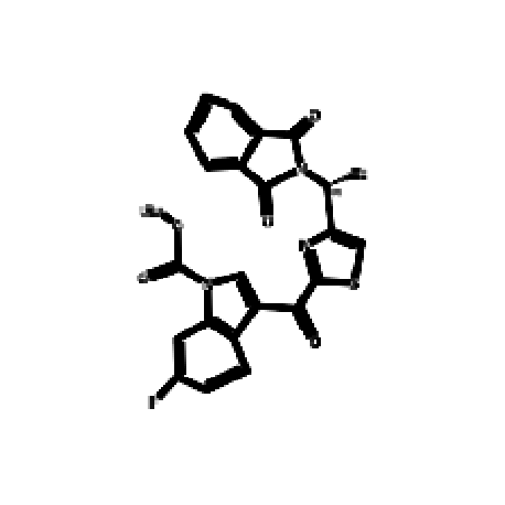 CC[C@H](c1csc(C(=O)c2cn(C(=O)OC(C)(C)C)c3cc(F)ccc23)n1)N1C(=O)c2ccccc2C1=O